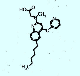 CCCCCCc1ccc2nc(N(C)CC(=O)O)cc(Oc3cccnc3)c2c1